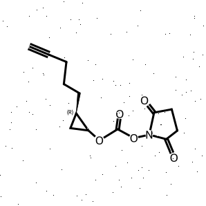 C#CCCC[C@@H]1CC1OC(=O)ON1C(=O)CCC1=O